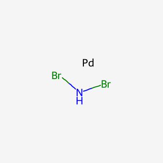 BrNBr.[Pd]